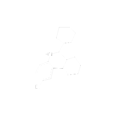 CCc1ccc2c(c1)C1OCCCC1C(C1CCCCC1)N2